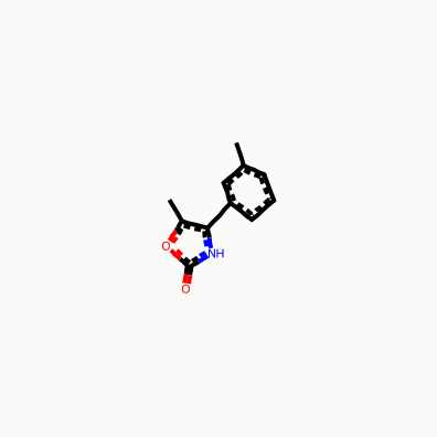 Cc1cccc(-c2[nH]c(=O)oc2C)c1